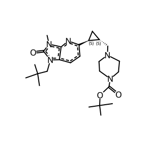 Cn1c(=O)n(CC(C)(C)C)c2ccc([C@H]3C[C@@H]3CN3CCN(C(=O)OC(C)(C)C)CC3)nc21